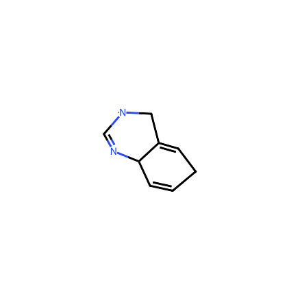 C1=CC2N=C[N]CC2=CC1